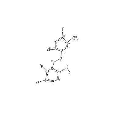 COc1ccc(F)c(F)c1COc1cc(N)c(F)cc1Cl